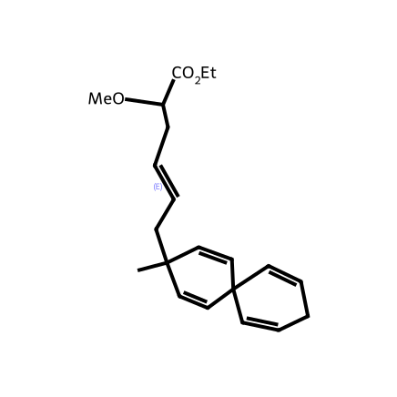 CCOC(=O)C(C/C=C/CC1(C)C=CC2(C=CCC=C2)C=C1)OC